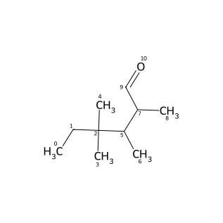 CCC(C)(C)C(C)C(C)C=O